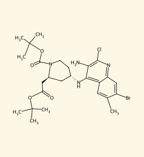 Cc1cc2c(N[C@H]3CCN(C(=O)OC(C)(C)C)[C@H](CC(=O)OC(C)(C)C)C3)c(N)c(Cl)nc2cc1Br